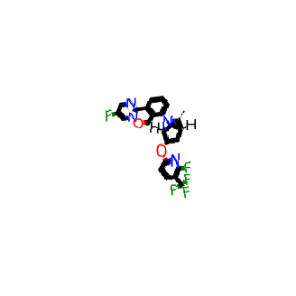 C[C@@H]1[C@H]2C[C@@H](Oc3ccc(C(F)(F)F)c(F)n3)[C@H](C2)N1c1cccc(-c2ncc(F)cn2)c1C=O